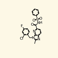 Cc1nc2ccc(C(=O)NS(=O)(=O)c3ccccc3)nc2n1Cc1ccc(F)cc1Cl